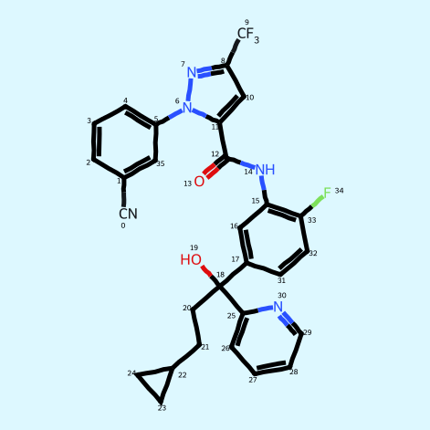 N#Cc1cccc(-n2nc(C(F)(F)F)cc2C(=O)Nc2cc(C(O)(CCC3CC3)c3ccccn3)ccc2F)c1